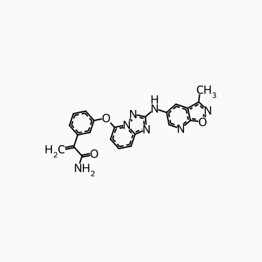 C=C(C(N)=O)c1cccc(Oc2cccc3nc(Nc4cnc5onc(C)c5c4)nn23)c1